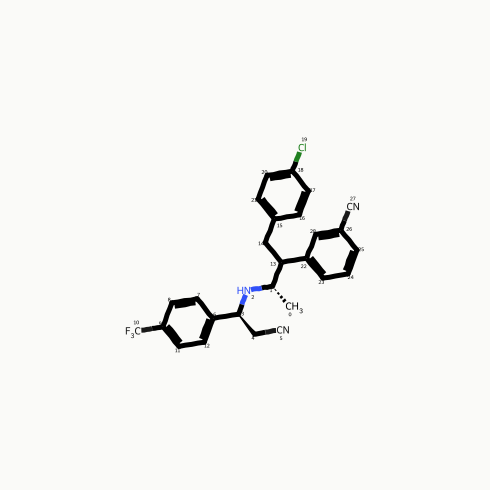 C[C@H](N[C@@H](CC#N)c1ccc(C(F)(F)F)cc1)C(Cc1ccc(Cl)cc1)c1cccc(C#N)c1